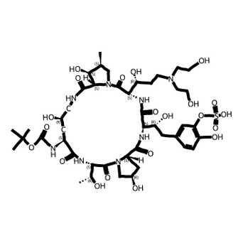 C[C@@H](O)[C@@H]1NC(=O)[C@@H](NC(=O)OC(C)(C)C)C[C@@H](O)CNC(=O)[C@@H]2[C@@H](O)[C@@H](C)CN2C(=O)[C@H]([C@H](O)CCN(CCO)CCO)NC(=O)[C@H]([C@H](O)Cc2ccc(O)c(OS(=O)(=O)O)c2)NC(=O)[C@@H]2C[C@@H](O)CN2C1=O